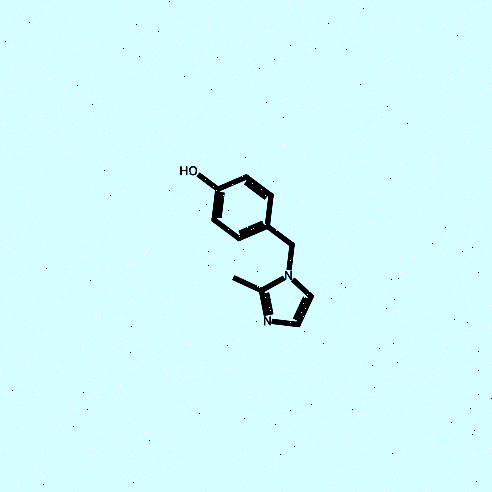 Cc1nccn1Cc1ccc(O)cc1